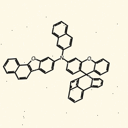 c1ccc2c(c1)Oc1cc(N(c3ccc4ccccc4c3)c3ccc4c(c3)oc3c5ccccc5ccc43)ccc1C21c2ccccc2-c2cccc3cccc1c23